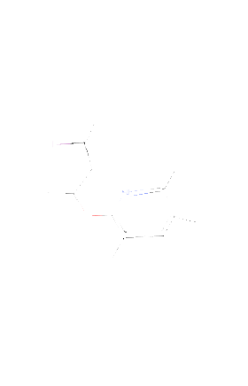 Cc1cc(C)c(OC(C)CC(C)I)nc1C